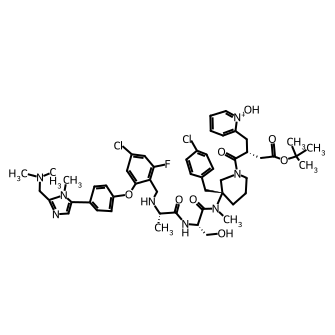 C[C@H](NCc1c(F)cc(Cl)cc1Oc1ccc(-c2cnc(CN(C)C)n2C)cc1)C(=O)N[C@@H](CO)C(=O)N(C)[C@@]1(Cc2ccc(Cl)cc2)CCCN(C(=O)[C@@H](CC(=O)OC(C)(C)C)Cc2cccc[n+]2O)C1